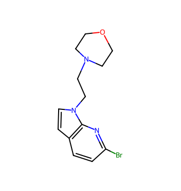 Brc1ccc2ccn(CCN3CCOCC3)c2n1